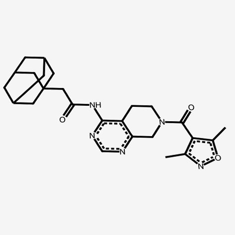 Cc1noc(C)c1C(=O)N1CCc2c(ncnc2NC(=O)CC23CC4CC(CC(C4)C2)C3)C1